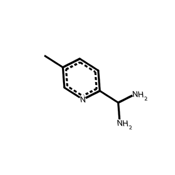 Cc1ccc(C(N)N)nc1